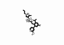 CCCn1cc(S(=O)(=O)NC(=O)Cc2c(-c3ccnc(OC)c3)cc(F)cc2C(C)C)c(C)n1